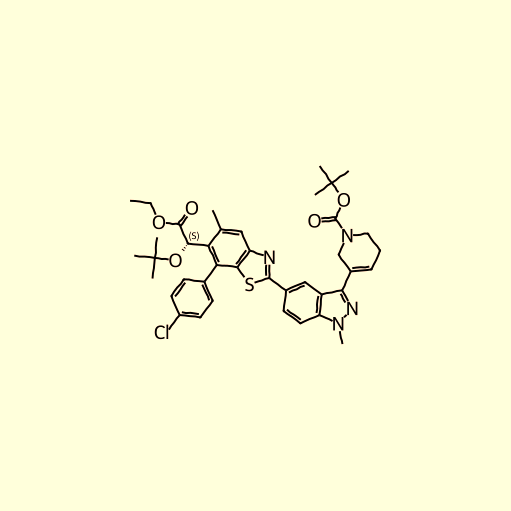 CCOC(=O)[C@@H](OC(C)(C)C)c1c(C)cc2nc(-c3ccc4c(c3)c(C3=CCCN(C(=O)OC(C)(C)C)C3)nn4C)sc2c1-c1ccc(Cl)cc1